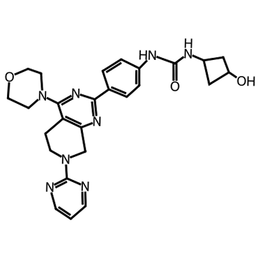 O=C(Nc1ccc(-c2nc3c(c(N4CCOCC4)n2)CCN(c2ncccn2)C3)cc1)NC1CC(O)C1